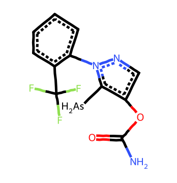 NC(=O)Oc1cnn(-c2ccccc2C(F)(F)F)c1[AsH2]